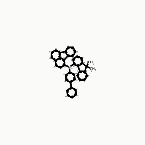 CC1(C)c2ccccc2-c2c(N(c3ccc(-c4ccccc4)cc3)c3ccc4cccc5c4c3-c3ccccc3-5)cccc21